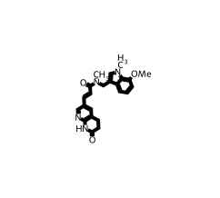 COc1cccc2c(CN(C)C(=O)C=Cc3cnc4c(c3)CCC(=O)N4)cn(C)c12